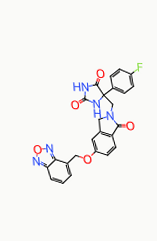 O=C1NC(=O)C(CN2Cc3cc(OCc4cccc5nonc45)ccc3C2=O)(c2ccc(F)cc2)N1